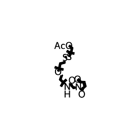 CC(=O)OCC(C)(C)SSCCC(C)(C)OCCC(C)(C)NC(=O)CN1C(=O)C=CC1=O